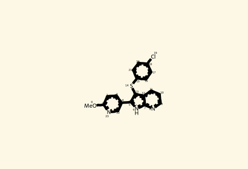 COc1ccc(-c2[nH]c3ncccc3c2Sc2ccc(Cl)cc2)cn1